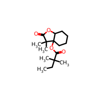 CCC(C)(C)C(=O)OC12CCCCC1OC(=O)C2(C)C